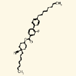 CCCCCCCCc1ccc(-c2ccc(C(=O)OC3CCC(C#N)(CCCCCCC)CC3)cc2F)cc1